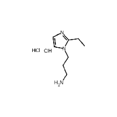 CCc1nccn1CCCN.Cl.Cl